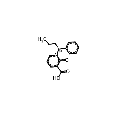 CCC[C@@H](c1ccccc1)n1cccc(C(=O)O)c1=O